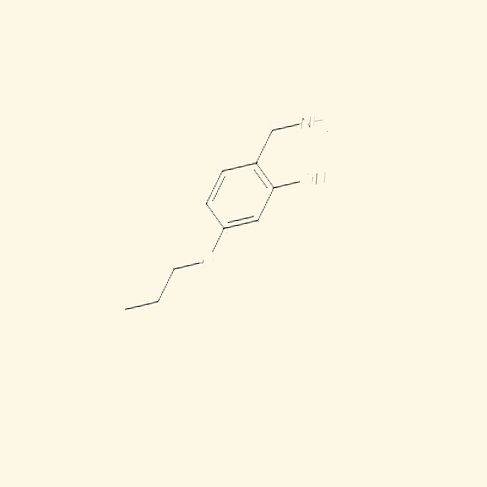 CCCOc1ccc(CN)c(O)c1